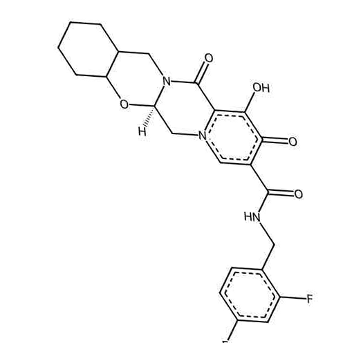 O=C(NCc1ccc(F)cc1F)c1cn2c(c(O)c1=O)C(=O)N1CC3CCCCC3O[C@@H]1C2